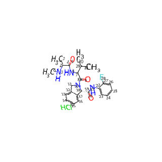 CNC(C)C(=O)NC(C(=O)N1Cc2ccccc2[C@H]1C(=O)Nc1ccccc1F)C(C)C.Cl